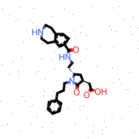 O=C(O)C[C@@H]1C[C@@H](CCNC(=O)c2ccc3c(c2)CCNCC3)N(CCCc2ccccc2)C1=O